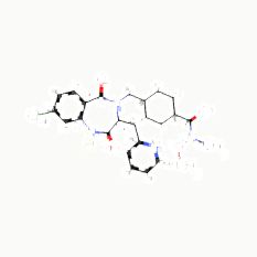 CON(C)C(=O)C1CCC(CN2C(=O)c3ccc(Cl)cc3NC(=O)C2Cc2ccccn2)CC1